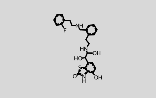 O=c1[nH]c2c(O)ccc(C(O)C(O)NCCc3ccccc3CNCCc3ccccc3F)c2s1